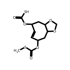 CSC(=O)OC1/C=C/C(OC(=O)S)CC2OCOC2C1